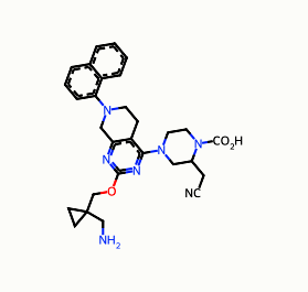 N#CCC1CN(c2nc(OCC3(CN)CC3)nc3c2CCN(c2cccc4ccccc24)C3)CCN1C(=O)O